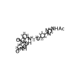 CC(=O)Nc1cnc(-c2ccc(OCCCNc3cccc4c3C(=O)N(C3CCC(=O)NC3=O)C4=O)cc2)nc1